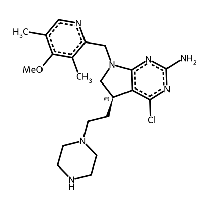 COc1c(C)cnc(CN2C[C@H](CCN3CCNCC3)c3c(Cl)nc(N)nc32)c1C